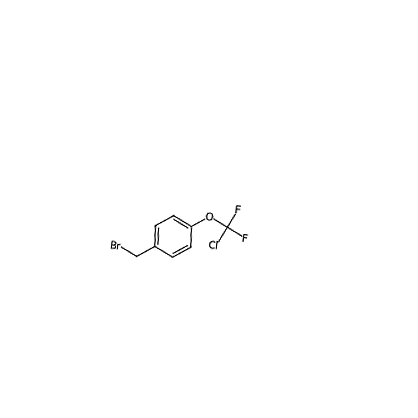 FC(F)(Cl)Oc1ccc(CBr)cc1